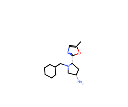 Cc1cnc([C@@H]2C[C@H](N)CN2CC2CCCCC2)o1